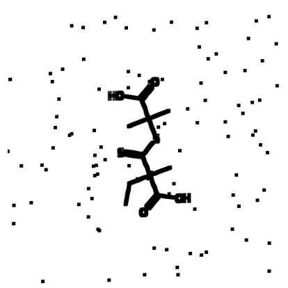 CCS(C)(C(=O)O)C(=S)SC(C)(C)C(=O)O